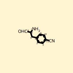 N#Cc1ccc(CC(N)C=O)cc1